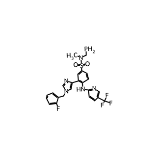 CN(CP)S(=O)(=O)c1ccc(Nc2ccc(C(F)(F)F)cn2)c(-c2cn(Cc3ccccc3F)cn2)c1